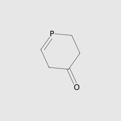 O=C1CC=PCC1